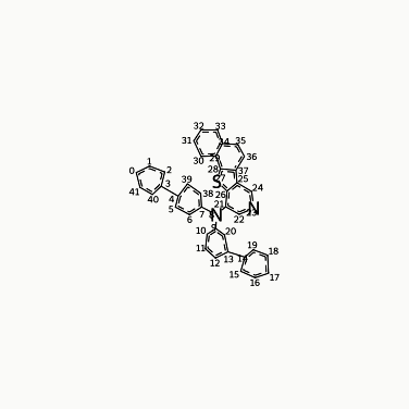 c1ccc(-c2ccc(N(c3cccc(-c4ccccc4)c3)c3cncc4c3sc3c5ccccc5ccc43)cc2)cc1